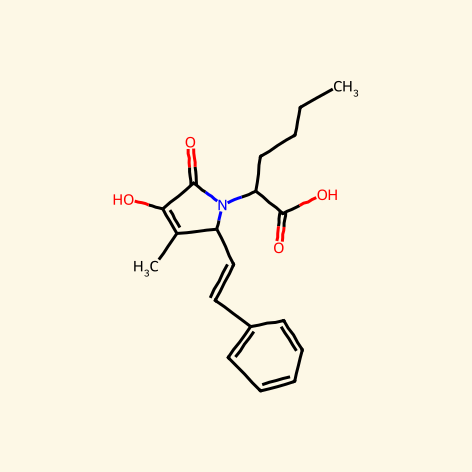 CCCCC(C(=O)O)N1C(=O)C(O)=C(C)C1C=Cc1ccccc1